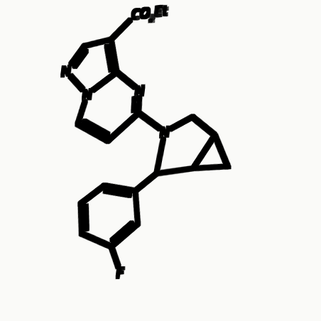 CCOC(=O)c1cnn2ccc(N3CC4CC4C3c3cccc(F)c3)nc12